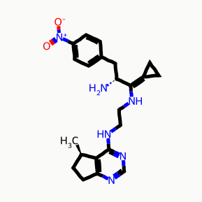 C[C@@H]1CCc2ncnc(NCCNC(=C3CC3)[C@H](N)Cc3ccc([N+](=O)[O-])cc3)c21